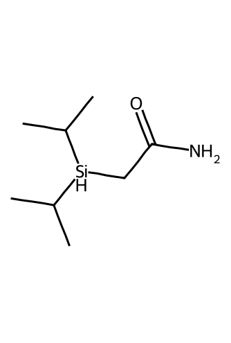 CC(C)[SiH](CC(N)=O)C(C)C